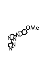 COc1ccc2c(c1)CN(c1ccnc(-c3ccncn3)n1)C2